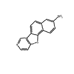 Bc1ccc2c(ccc3c4cnccc4sc23)c1